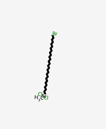 C[Si](Cl)(Cl)CCCCCCCCCCCCCCCCCCCCCCCCCCCCBr